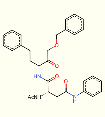 CC(=O)N[C@@H](CC(=O)Nc1ccccc1)C(=O)NC(CCc1ccccc1)C(=O)COCc1ccccc1